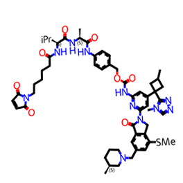 CSc1cc(CN2CCC[C@H](C)C2)cc2c1CN(c1cc(C3(c4nncn4C)CC(C)C3)cc(NC(=O)OCc3ccc(NC(=O)[C@H](C)NC(=O)[C@@H](NC(=O)CCCCCN4C(=O)C=CC4=O)C(C)C)cc3)n1)C2=O